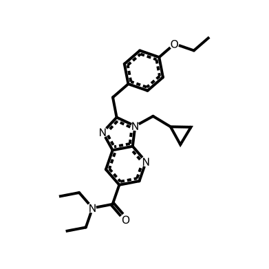 CCOc1ccc(Cc2nc3cc(C(=O)N(CC)CC)cnc3n2CC2CC2)cc1